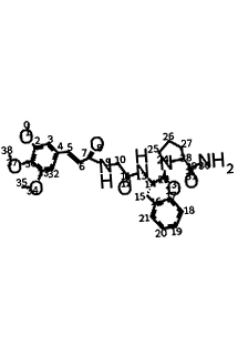 COc1cc(/C=C/C(=O)NCC(=O)N[C@@H](Cc2ccccc2)C(=O)N2CCC[C@H]2C(N)=O)cc(OC)c1OC